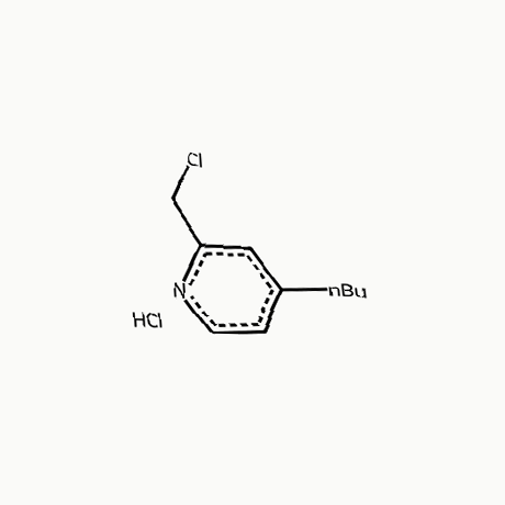 CCCCc1ccnc(CCl)c1.Cl